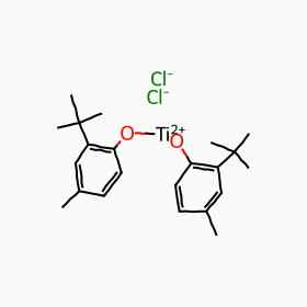 Cc1ccc([O][Ti+2][O]c2ccc(C)cc2C(C)(C)C)c(C(C)(C)C)c1.[Cl-].[Cl-]